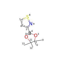 CC1(C)OB(c2ccsn2)OC1(C)C